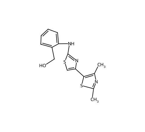 Cc1nc(C)c(-c2csc(Nc3ccccc3CO)n2)s1